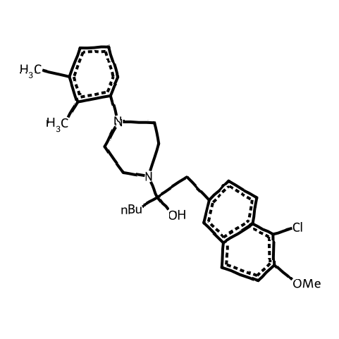 CCCCC(O)(Cc1ccc2c(Cl)c(OC)ccc2c1)N1CCN(c2cccc(C)c2C)CC1